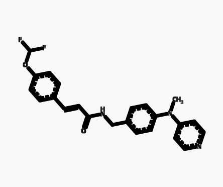 CN(c1ccncc1)c1ccc(CNC(=O)/C=C/c2ccc(OC(F)F)cc2)cc1